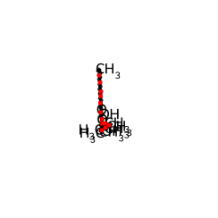 CCCCCCCCCCCCCCCCCCOCC(O)COCc1cc(C(C)(C)C)c(O)c(C(C)(C)C)c1